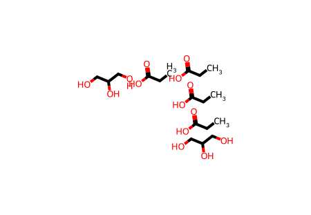 CCC(=O)O.CCC(=O)O.CCC(=O)O.CCC(=O)O.OCC(O)CO.OCC(O)CO